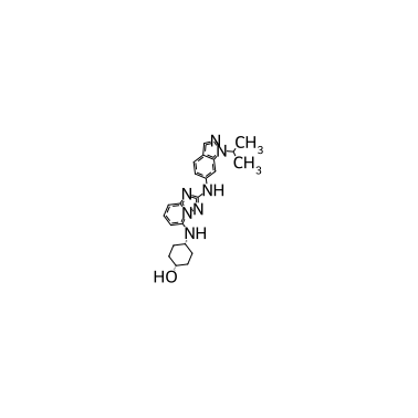 CC(C)n1ncc2ccc(Nc3nc4cccc(N[C@H]5CC[C@@H](O)CC5)n4n3)cc21